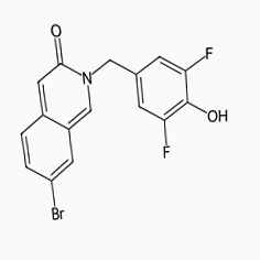 O=c1cc2ccc(Br)cc2cn1Cc1cc(F)c(O)c(F)c1